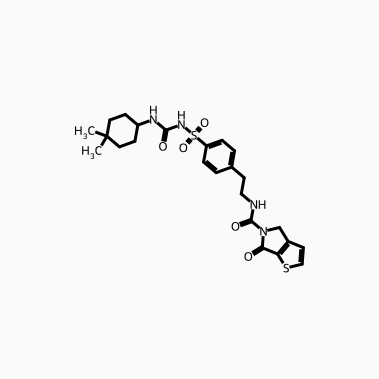 CC1(C)CCC(NC(=O)NS(=O)(=O)c2ccc(CCNC(=O)N3Cc4ccsc4C3=O)cc2)CC1